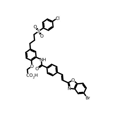 O=C(O)COc1ccc(CCCS(=O)(=O)c2ccc(Cl)cc2)cc1NC(=O)c1ccc(/C=C/c2nc3cc(Br)ccc3o2)cc1